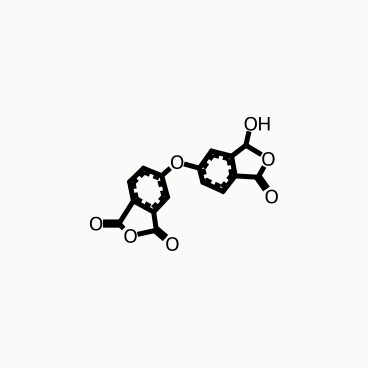 O=C1OC(=O)c2cc(Oc3ccc4c(c3)C(O)OC4=O)ccc21